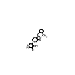 C[C@H]1CCC[C@@H]1Cn1nnc2c1CCN(c1cn[nH]c(=O)c1Cl)C2